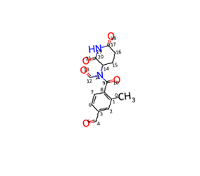 Cc1cc(C=O)ccc1C(=O)N(C=O)C1CCC(=O)NC1=O